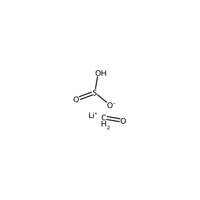 C=O.O=S([O-])O.[Li+]